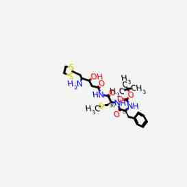 CSC[C@H](NC(=O)[C@H](Cc1ccccc1)NC(=O)OC(C)(C)C)C(=O)NC(=O)CC(O)C(N)CC1SCCS1